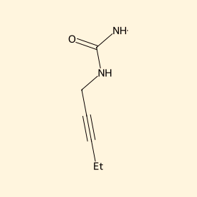 CCC#CCNC([NH])=O